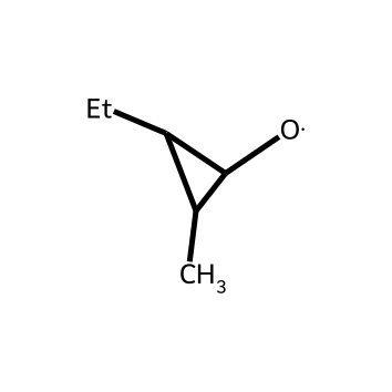 CCC1C(C)C1[O]